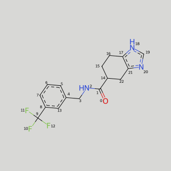 O=C(NCc1cccc(C(F)(F)F)c1)C1CCc2[nH]cnc2C1